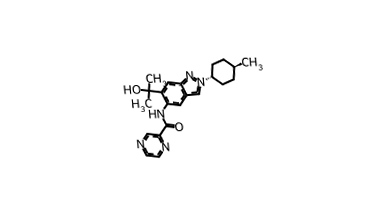 CC(C)(O)c1cc2nn([C@H]3CC[C@H](C)CC3)cc2cc1NC(=O)c1cnccn1